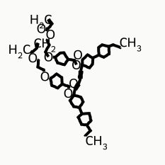 C=CC(=C)OCCCOC1CCC(C(=O)OC2(C#CC#CC3(OC(=O)C4CCC(OCCCOC(=O)C=C)CC4)CCC(C4CCC(CCC)CC4)CC3)CCC(C3CCC(CCC)CC3)CC2)CC1